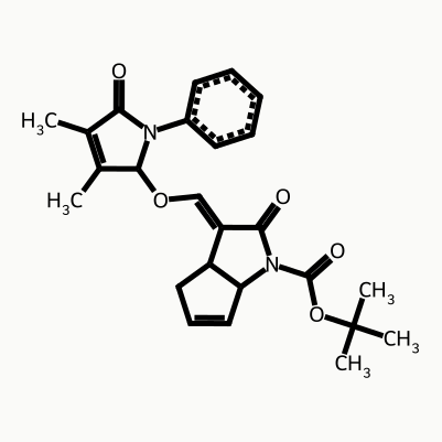 CC1=C(C)C(O/C=C2/C(=O)N(C(=O)OC(C)(C)C)C3C=CCC23)N(c2ccccc2)C1=O